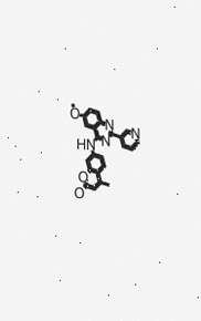 COc1ccc2nc(-c3cccnc3)nc(Nc3ccc4c(C)cc(=O)oc4c3)c2c1